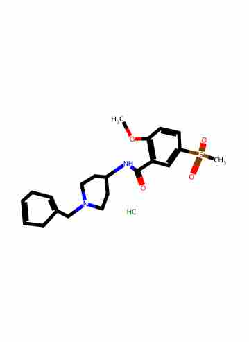 COc1ccc(S(C)(=O)=O)cc1C(=O)NC1CCN(CC2=CCC=CC2)CC1.Cl